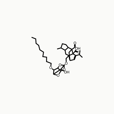 CCCCCCCCCCOC1C2OC3(OCC45CC6C(C)CCC6C6(C=O)CC4C=C(C(C)C)C65C(=O)O)OC2OC1C3O